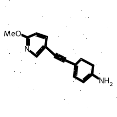 COc1ccc(C#CC2=CC=C(N)CC2)cn1